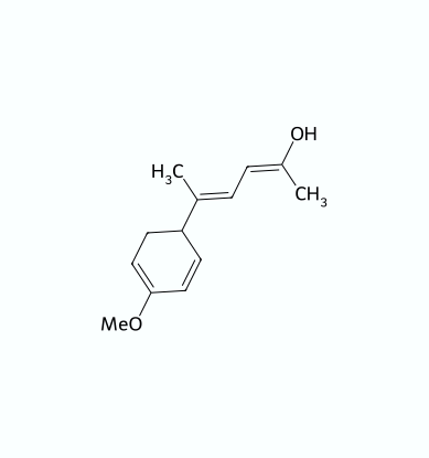 COC1=CCC(/C(C)=C/C=C(\C)O)C=C1